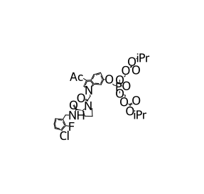 CC(=O)c1cn(CC(=O)N2CCC[C@H]2C(=O)NCc2cccc(Cl)c2F)c2cc(OCP(=O)(OCOC(=O)OC(C)C)OCOC(=O)OC(C)C)ccc12